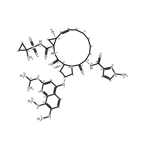 COc1ccc2c(O[C@@H]3C[C@H]4C(=O)N[C@]5(C(=O)NS(=O)(=O)C6(C)CC6)C[C@H]5C=CCCCCC[C@H](NC(=O)c5ccn(C)n5)C(=O)N4C3)cc(OC(C)C)nc2c1OC